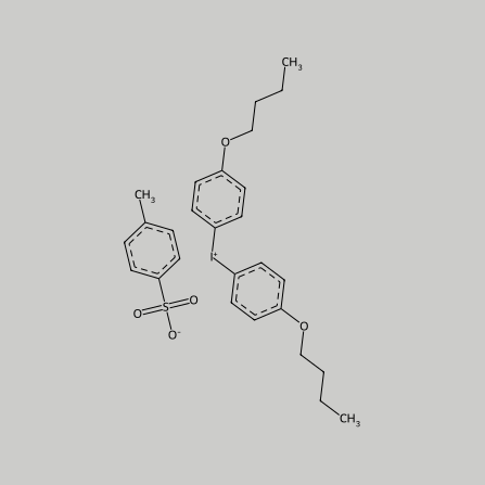 CCCCOc1ccc([I+]c2ccc(OCCCC)cc2)cc1.Cc1ccc(S(=O)(=O)[O-])cc1